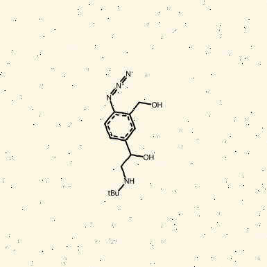 CC(C)(C)NCC(O)c1ccc(N=[N+]=[N-])c(CO)c1